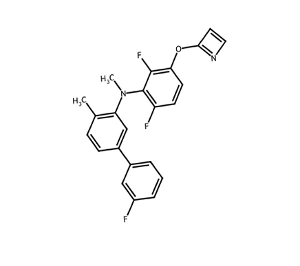 Cc1ccc(-c2cccc(F)c2)cc1N(C)c1c(F)ccc(OC2=NC=C2)c1F